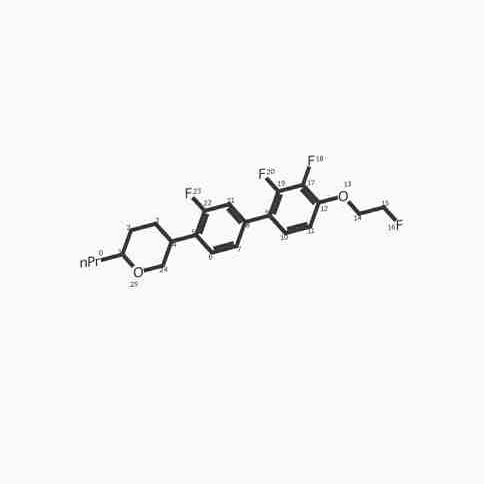 CCCC1CCC(c2ccc(-c3ccc(OCCF)c(F)c3F)cc2F)CO1